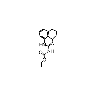 CCOC(=O)NC1=NC2CCCc3cccc(c32)N1